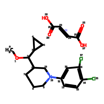 COC(C1CC1)C1CCCN(c2ccc(Cl)c(Cl)c2)C1.O=C(O)/C=C/C(=O)O